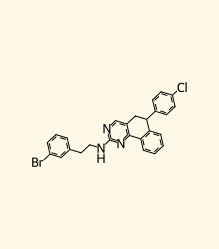 Clc1ccc(C2Cc3cnc(NCCc4cccc(Br)c4)nc3-c3ccccc32)cc1